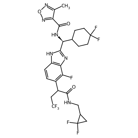 Cc1nonc1C(=O)N[C@H](c1nc2c(F)c(C(CC(F)(F)F)C(=O)NCC3CC3(F)F)ccc2[nH]1)C1CCC(F)(F)CC1